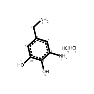 Cl.Cl.NCc1cc(N)c(O)c(O)c1